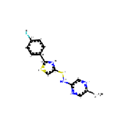 O=C(O)c1cnc(NSc2csc(-c3ccc(F)cc3)n2)cn1